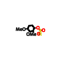 COc1ccc(O[SH](=O)=O)c(OC)c1